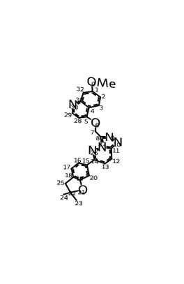 COc1ccc2c(OCc3nnc4ccc(-c5ccc6c(c5)OC(C)(C)C6)nn34)ccnc2c1